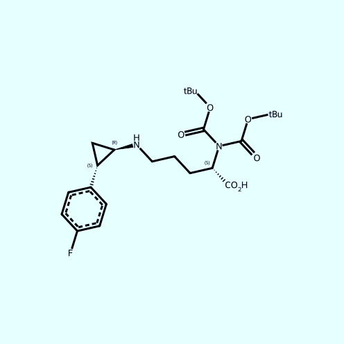 CC(C)(C)OC(=O)N(C(=O)OC(C)(C)C)[C@@H](CCCN[C@@H]1C[C@H]1c1ccc(F)cc1)C(=O)O